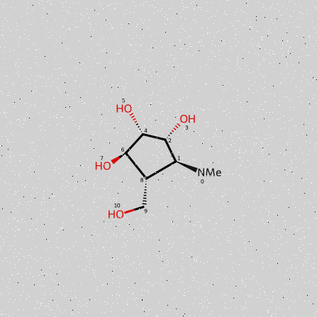 CN[C@@H]1[C@@H](O)[C@@H](O)[C@H](O)[C@H]1CO